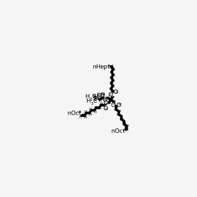 CCCCCCC/C=C\CCCCCCCC(=O)OCC(COC(=O)CCCCCCC/C=C\CCCCCCCC)(COC(=O)CCCCCCC/C=C\CCCCCCCC)COC(=O)C[N+](C)(C)C